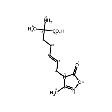 Cc1noc(=O)n1C/C=C/CCC(C)(N)C(=O)O